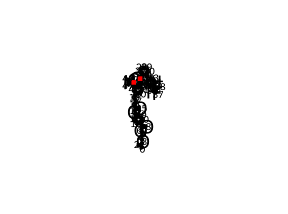 CC(C)OCCOC(=O)c1ccc(OC(=O)CCCc2ccc(NC(=O)c3ccccc3-c3ccc(C(F)(F)F)cc3)c(C(=O)N(C)C)c2)cc1